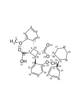 COc1ccccc1[C@H]1[C@H](C(=O)O)[C@H](c2ccccc2OC)[C@H]1C(=O)O[C@@H]1CCCC[C@H]1c1ccccc1